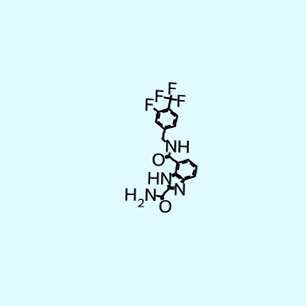 NC(=O)c1nc2cccc(C(=O)NCc3ccc(C(F)(F)F)c(F)c3)c2[nH]1